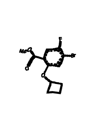 COC(=O)c1cc(F)c(Br)cc1OC1CCC1